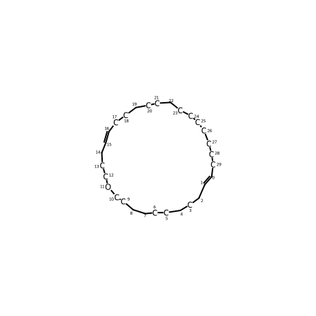 C1=CCCCCCCCCCOCCCC=CCCCCCCCCCCCCC1